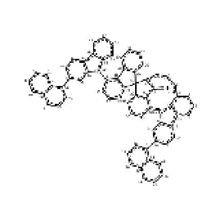 C=c1c2cccc3cccc4c5ccc(-c6cccc7ccccc67)cc5n(c5cccc(c15)C21c2ccccc2-c2c(-n5c6ccccc6c6ccc(-c7cccc8ccccc78)cc65)cccc21)c34